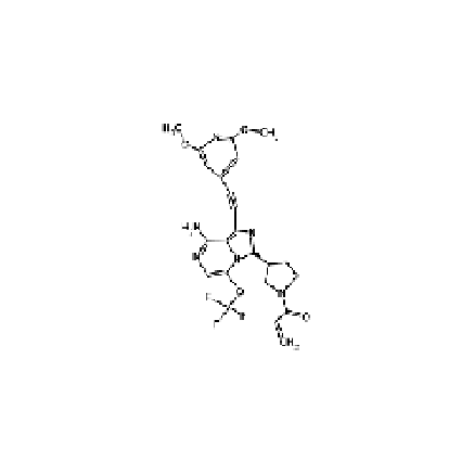 C=CC(=O)N1CC[C@H](c2nc(C#Cc3cc(OC)nc(OC)c3)c3c(N)ncc(OC(F)(F)F)n23)C1